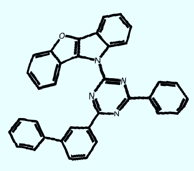 c1ccc(-c2cccc(-c3nc(-c4ccccc4)nc(-n4c5ccccc5c5oc6ccccc6c54)n3)c2)cc1